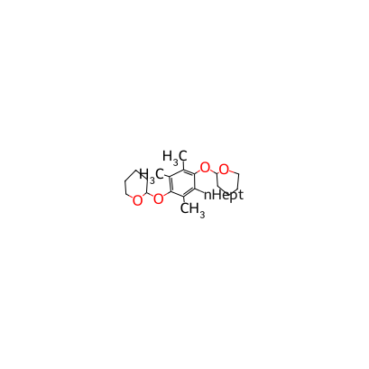 CCCCCCCc1c(C)c(OC2CCCCO2)c(C)c(C)c1OC1CCCCO1